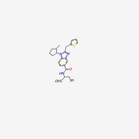 CC(C)CC(C=O)NC(=O)c1ccc2c(c1)nc(Cc1cccs1)n2C1CCCC1C